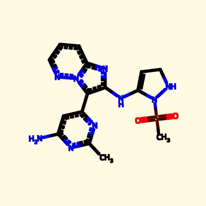 Cc1nc(N)cc(-c2c(NC3=CCNN3S(C)(=O)=O)nc3cccnn23)n1